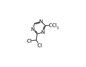 ClC(Cl)c1ncnc(C(Cl)(Cl)Cl)n1